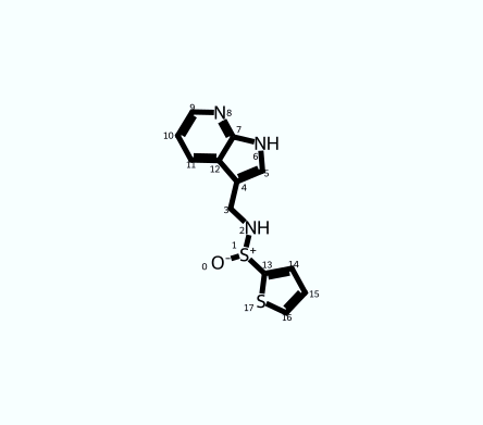 [O-][S+](NCc1c[nH]c2ncccc12)c1cccs1